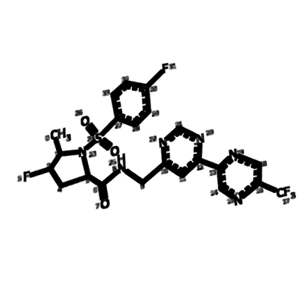 CC1C(F)CC(C(=O)NCc2cc(-c3cnc(C(F)(F)F)cn3)ncn2)N1S(=O)(=O)c1ccc(F)cc1